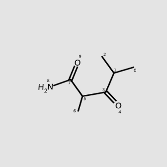 CC(C)C(=O)C(C)C(N)=O